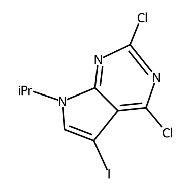 CC(C)n1cc(I)c2c(Cl)nc(Cl)nc21